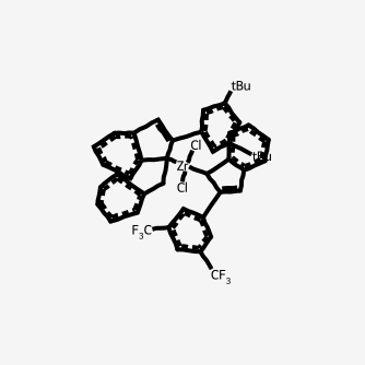 CC(C)(C)c1cc(C2=Cc3ccccc3[C]2(Cc2ccccc2)[Zr]([Cl])([Cl])[CH]2C(c3cc(C(F)(F)F)cc(C(F)(F)F)c3)=Cc3ccccc32)cc(C(C)(C)C)c1